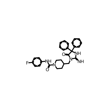 N=C1NC(c2ccccc2)(c2ccccc2)C(=O)N1CC1CCN(C(=O)Nc2ccc(F)cc2)CC1